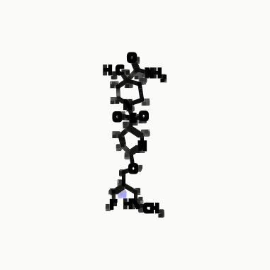 CNC/C(=C\F)COc1ccc(S(=O)(=O)N2CCC(C)(C(N)=O)CC2)cn1